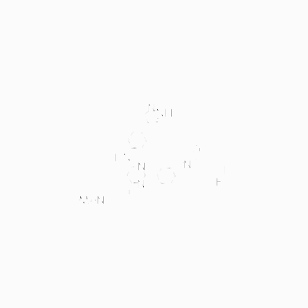 CNCCOc1cc(Nc2ccc(-c3cn[nH]c3)cc2)nc(-c2ccc3c(c2)CN(C(=O)C2CC(F)(F)C2)C3)n1